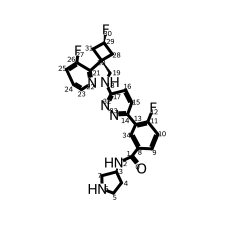 O=C(N[C@@H]1CCNC1)c1ccc(F)c(-c2ccc(NC[C@]3(c4ncccc4F)C[C@H](F)C3)nn2)c1